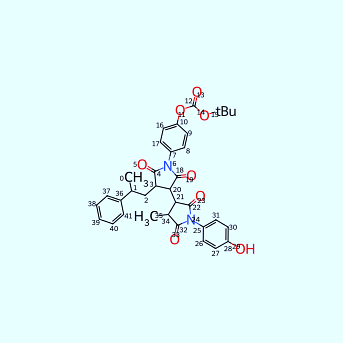 CC(CC1C(=O)N(c2ccc(OC(=O)OC(C)(C)C)cc2)C(=O)C1C1C(=O)N(c2ccc(O)cc2)C(=O)C1C)c1ccccc1